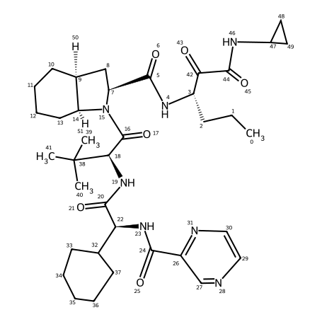 CCC[C@H](NC(=O)[C@@H]1C[C@@H]2CCCC[C@@H]2N1C(=O)[C@@H](NC(=O)[C@@H](NC(=O)c1cnccn1)C1CCCCC1)C(C)(C)C)C(=O)C(=O)NC1CC1